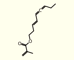 C=C(C)C(=O)OCCC=CC=C=CCC